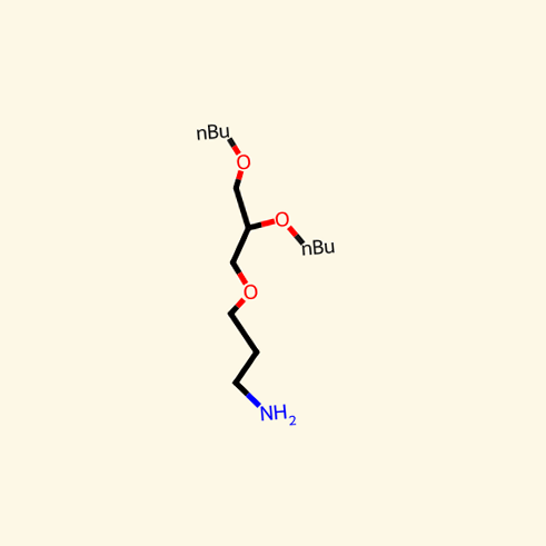 CCCCOCC(COCCCN)OCCCC